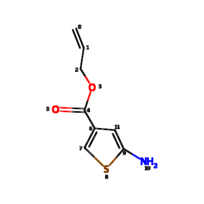 C=CCOC(=O)c1csc(N)c1